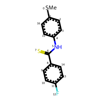 CSc1ccc(NC(=S)c2ccc(F)cc2)cc1